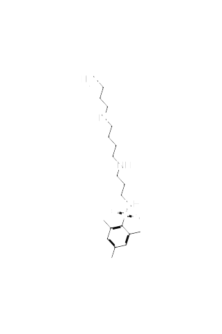 Cc1cc(C)c(S(=O)(=O)NCCCNCCCCNCCCN)c(C)c1